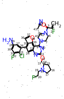 C=C(F)C(=O)N1CCN(c2nc(OC[C@@H]3CCCN3CCF)nc3cc(-c4cc(N)cc(F)c4Cl)c4ccoc4c23)C[C@@H]1CC#N